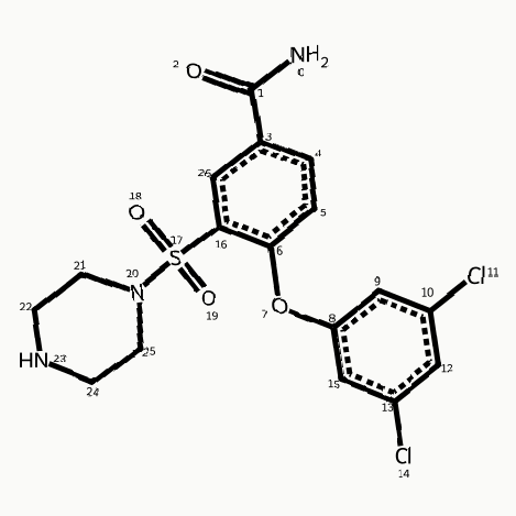 NC(=O)c1ccc(Oc2cc(Cl)cc(Cl)c2)c(S(=O)(=O)N2CCNCC2)c1